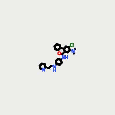 CN(C)c1cc(C(=O)Nc2ccc(NCCc3ccccn3)cc2)c(-c2ccccc2)cc1Cl